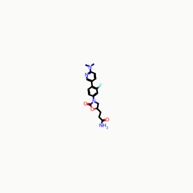 CN(C)c1ccc(-c2ccc(N3CC(CCC(N)=O)OC3=O)cc2F)cn1